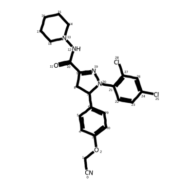 N#CCOc1ccc(C2CC(C(=O)NN3CCCCC3)=NN2c2ccc(Cl)cc2Cl)cc1